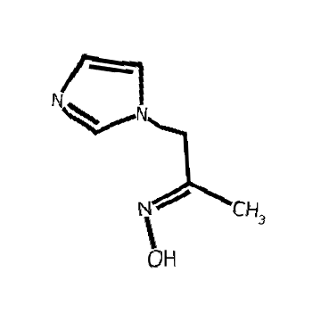 CC(Cn1ccnc1)=NO